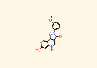 COc1cccc(-n2nc3c4cnc(OC)cc4[nH]cc-3c2=O)c1